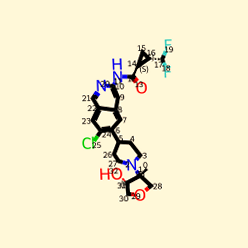 C[C@@]1(N2CCC(c3cc4cc(NC(=O)[C@H]5C[C@@H]5C(F)F)ncc4cc3Cl)CC2)COC[C@@H]1O